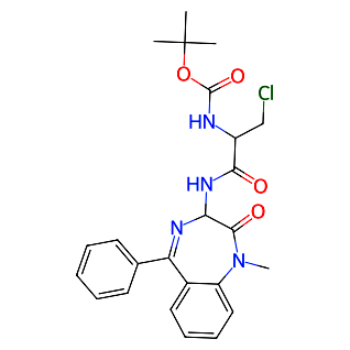 CN1C(=O)C(NC(=O)C(CCl)NC(=O)OC(C)(C)C)N=C(c2ccccc2)c2ccccc21